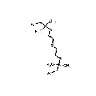 CC(=O)CC(C)(C)SCCOCCSC(C)(C)CC(C)=O